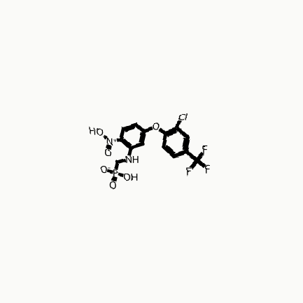 O=[N+](O)c1ccc(Oc2ccc(C(F)(F)F)cc2Cl)cc1NCP(=O)([O-])O